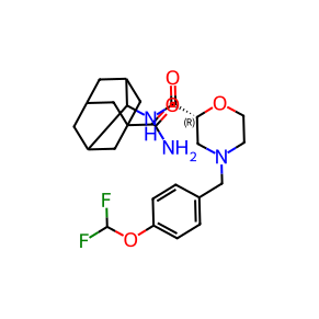 NC(=O)C12CC3CC(C1)C(NC(=O)[C@H]1CN(Cc4ccc(OC(F)F)cc4)CCO1)C(C3)C2